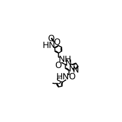 Cc1ccc(CNC(=O)c2cc(C(=O)NCc3ccc4oc(=O)[nH]c4c3)nc3ccnn23)s1